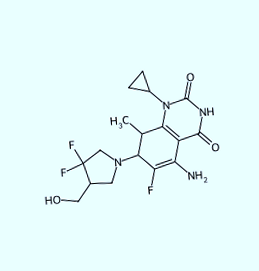 CC1c2c(c(=O)[nH]c(=O)n2C2CC2)C(N)=C(F)C1N1CC(CO)C(F)(F)C1